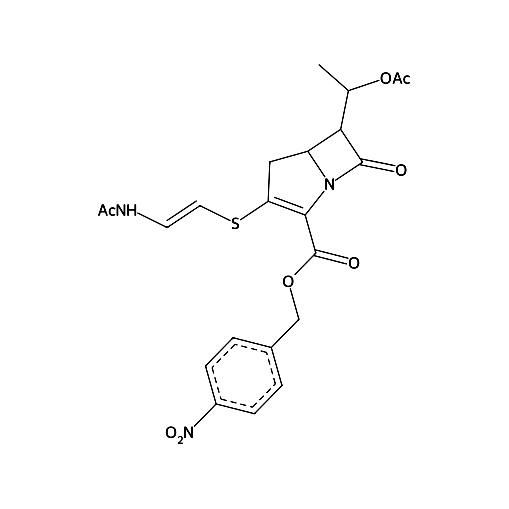 CC(=O)NC=CSC1=C(C(=O)OCc2ccc([N+](=O)[O-])cc2)N2C(=O)C(C(C)OC(C)=O)C2C1